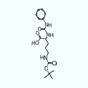 CC(C)(C)OC(=O)NCCCC(NC(=O)Nc1ccccc1)C(=O)O